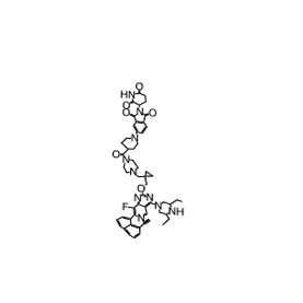 C#Cc1cccc2cccc(-c3ncc4c(N5CC(CC)NC(CC)C5)nc(OCC5(CN6CCN(C(=O)C7CCN(c8ccc9c(c8)C(=O)N(C8CCC(=O)NC8=O)C9=O)CC7)CC6)CC5)nc4c3F)c12